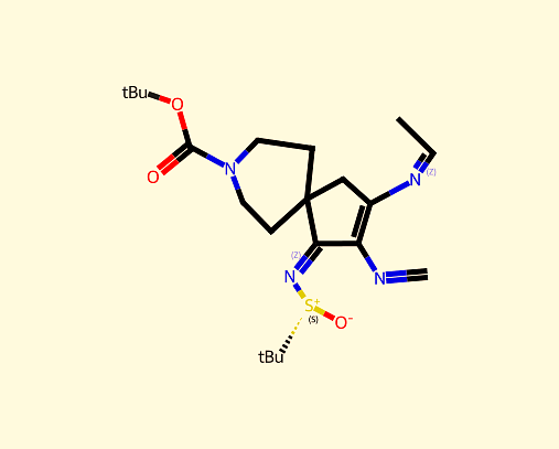 C=NC1=C(/N=C\C)CC2(CCN(C(=O)OC(C)(C)C)CC2)/C1=N/[S@+]([O-])C(C)(C)C